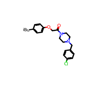 CCC(C)c1ccc(OCC(=O)N2CCN(Cc3ccc(Cl)cc3)CC2)cc1